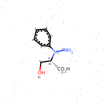 NN(c1ccccc1)[C@@H](CO)C(=O)O